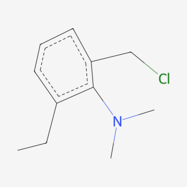 CCc1cccc(CCl)c1N(C)C